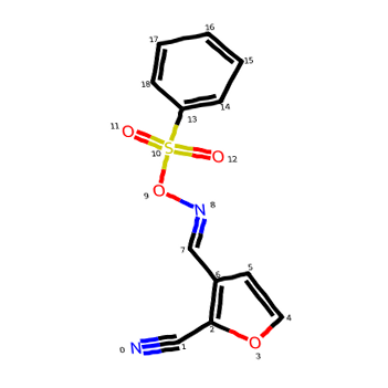 N#Cc1occc1C=NOS(=O)(=O)c1ccccc1